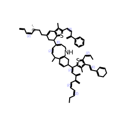 C=C/C=C\[C@H](C)CCC1=Cc2c(sc(/C=C\C(=C)c3ccccc3)c2C)C(C2=C/CNC3=C(C=CC(/C(=C/C(=C)C(=C)/C=C\C=C/CC)c4sc(/C=C\C)c(/C=C/C5=CCCC=C5)c4C)C3)C(C)/C=C\2)C1